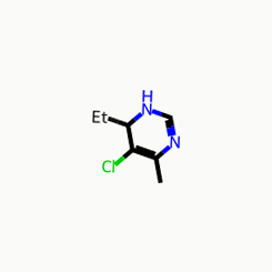 CCC1NC=NC(C)=C1Cl